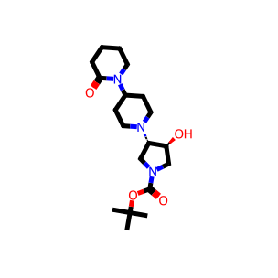 CC(C)(C)OC(=O)N1C[C@H](O)[C@@H](N2CCC(N3CCCCC3=O)CC2)C1